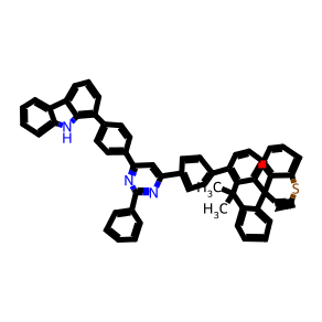 CC1(C)c2ccccc2C2(c3ccccc3Sc3ccccc32)c2cccc(-c3ccc(-c4cc(-c5ccc(-c6cccc7c6[nH]c6ccccc67)cc5)nc(-c5ccccc5)n4)cc3)c21